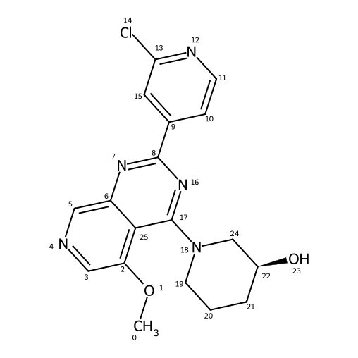 COc1cncc2nc(-c3ccnc(Cl)c3)nc(N3CCC[C@H](O)C3)c12